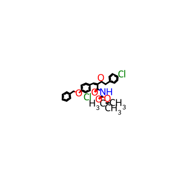 CC(C)(C)OC(=O)NC(=O)C(=Cc1ccc(OCc2ccccc2)c(Cl)c1)C(=O)Cc1ccc(Cl)cc1